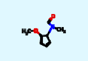 COC1=CC=CC1N(C)C=O